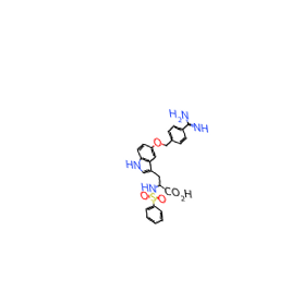 N=C(N)c1ccc(COc2ccc3[nH]cc(CC(NS(=O)(=O)c4ccccc4)C(=O)O)c3c2)cc1